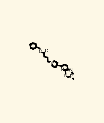 CP1C=Nc2ccc(-c3cc[n+](CCCC(=O)OCc4ccccc4)cc3)nc2N=C1